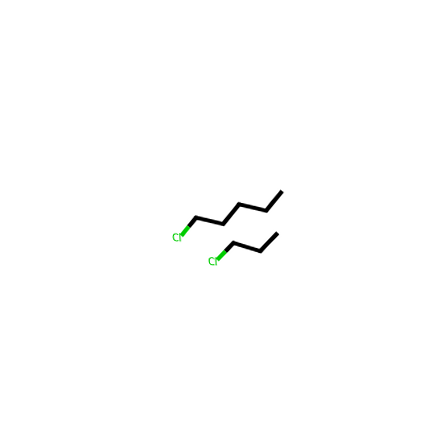 CCCCCCl.CCCCl